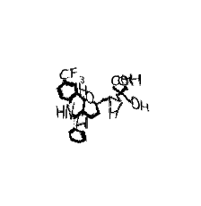 OCC(CO)(CO)NC[C@H]1CC[C@@H]2[C@H](O1)c1cc(C(F)(F)F)ccc1N[C@H]2c1ccccc1